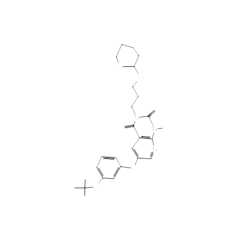 Cn1c(=O)n(CCCOC2CCCCO2)c(=O)c2cc(Oc3cccc(OC(F)(F)F)c3)cnc21